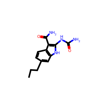 CCCc1ccc2c(C(N)=O)c(NC(N)=O)[nH]c2c1